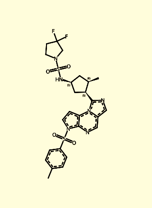 Cc1ccc(S(=O)(=O)n2ccc3c2ncc2cnc([C@H]4C[C@@H](NS(=O)(=O)N5CCC(F)(F)C5)C[C@H]4C)n23)cc1